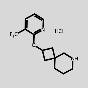 Cl.FC(F)(F)c1cccnc1OC1CC2(CCCNC2)C1